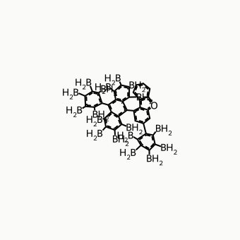 Bc1c(B)c(B)c(-c2cc(-c3c4c(B)c(B)c(B)c(B)c4c(-c4c(B)c(B)c(B)c(B)c4B)c4c(B)c(B)c(B)c(B)c34)c3c(c2)oc2ccccc23)c(B)c1B